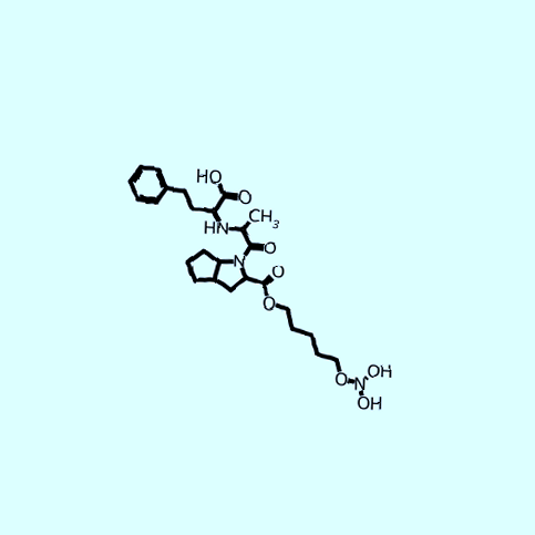 CC(NC(CCc1ccccc1)C(=O)O)C(=O)N1C(C(=O)OCCCCCON(O)O)CC2CCCC21